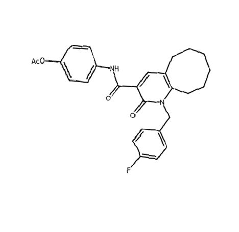 CC(=O)Oc1ccc(NC(=O)c2cc3c(n(Cc4ccc(F)cc4)c2=O)CCCCCC3)cc1